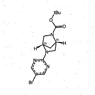 CC(C)(C)OC(=O)N1C[C@@H]2C[C@H]1CN2c1ncc(Br)cn1